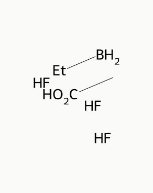 BCC.CC(=O)O.F.F.F